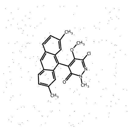 COc1c(Cl)nn(C)c(=O)c1-c1c2cc(C)ccc2cc2ccc(C)cc12